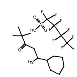 CC(C)(C)C(=O)CC(S)C1CCCCC1.O=S(=O)(O)C(F)(F)C(F)(F)C(F)(F)C(F)(F)F